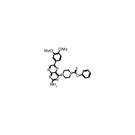 COc1ccc(-c2cnc3nc(N)nc(N4CCN(C(=S)Oc5ccccc5)CC4)c3n2)cc1OC